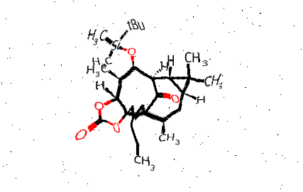 CC1=C[C@]23C(=O)[C@@H]([C@H](O[Si](C)(C)C(C)(C)C)[C@H](C)[C@H]4OC(=O)O[C@]42C1)[C@H]1[C@@H](C[C@H]3C)C1(C)C